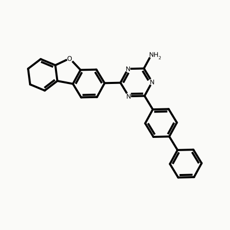 Nc1nc(-c2ccc(-c3ccccc3)cc2)nc(-c2ccc3c4c(oc3c2)=CCCC=4)n1